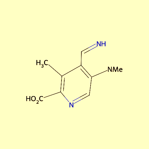 CNc1cnc(C(=O)O)c(C)c1C=N